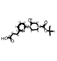 CC(C)(C)OC(=O)N1CCN(c2cccc(CCC(=O)O)n2)C(=O)C1